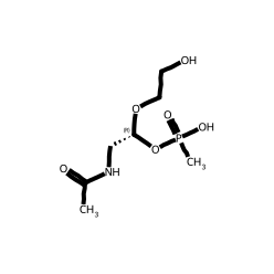 CC(=O)NC[C@H](OCCO)OP(C)(=O)O